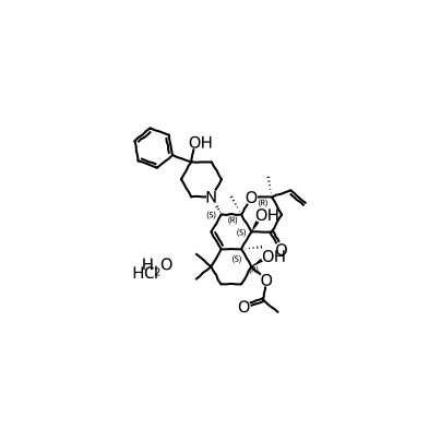 C=C[C@@]1(C)CC(=O)[C@]2(O)[C@]3(C)C(=C[C@H](N4CCC(O)(c5ccccc5)CC4)[C@@]2(C)O1)C(C)(C)CC[C@@]3(O)OC(C)=O.Cl.O